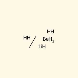 CC.[BeH2].[HH].[HH].[LiH]